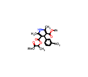 COC(=O)C(C)OC(=O)C1=C(C)NC(C)=C(C(=O)OC(C)C)C1c1cccc([N+](=O)[O-])c1